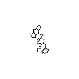 CCOC(=O)C(Cc1cnccn1)OC(=O)Nc1c2c(cc3c1CCC3)CCC2